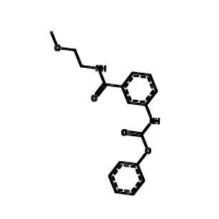 COCCNC(=O)c1cccc(NC(=O)Oc2ccccc2)c1